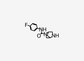 O=C(Nc1ccc(F)cc1)N1CC2CC1CN2